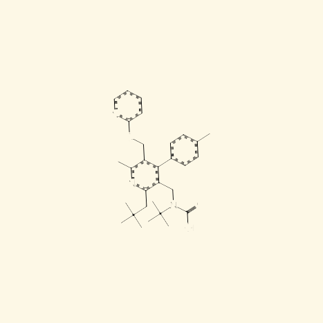 Cc1ccc(-c2c(CSc3ccccn3)c(C)nc(CC(C)(C)C)c2CN(C(=O)O)C(C)(C)C)cc1